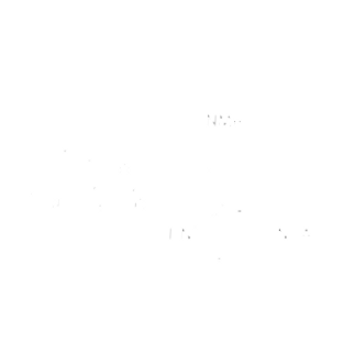 CNCC1Cc2c([nH]c3ccc(NC(C)=O)cc23)C(OC(=O)Cc2ccccc2)C1